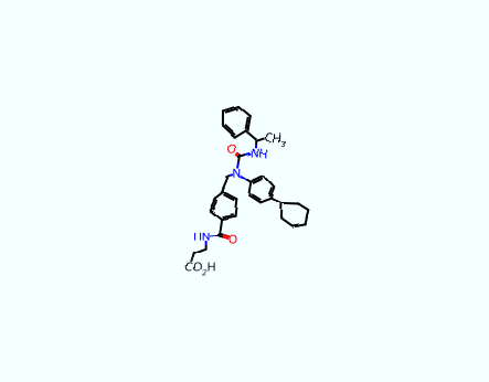 CC(NC(=O)N(Cc1ccc(C(=O)NCCC(=O)O)cc1)c1ccc(C2CCCCC2)cc1)c1ccccc1